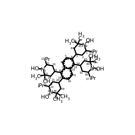 CC(C)C1CC(c2ccc3c(C4CC(C(C)C)N(O)C(C)(C)C4)c(C4CC(C(C)C)N(O)C(C)(C)C4)ccc3c2C2CC(C(C)C)N(O)C(C)(C)C2)CC(C)(C)N1O